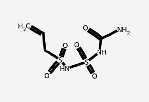 C=CCS(=O)(=O)NS(=O)(=O)NC(N)=O